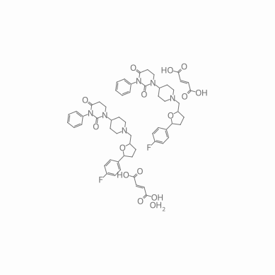 O.O=C(O)C=CC(=O)O.O=C(O)C=CC(=O)O.O=C1CCN(C2CCN(CC3CCC(c4ccc(F)cc4)O3)CC2)C(=O)N1c1ccccc1.O=C1CCN(C2CCN(CC3CCC(c4ccc(F)cc4)O3)CC2)C(=O)N1c1ccccc1